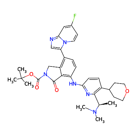 C[C@H](c1nc(Nc2ccc(-c3cnc4cc(F)ccn34)c3c2C(=O)N(C(=O)OC(C)(C)C)C3)ccc1C1CCOCC1)N(C)C